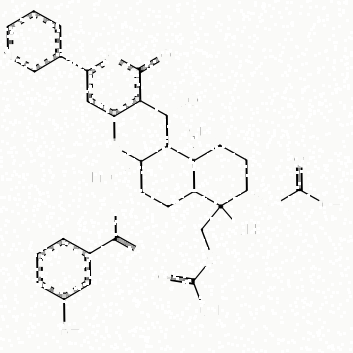 Bc1cccc(C(=O)O[C@H]2CC3C(C)(COC(C)=O)[C@@H](OC(C)=O)CC[C@]3(C)C3[C@@H](O)c4c(cc(-c5cccnc5)oc4=O)O[C@@]32C)c1